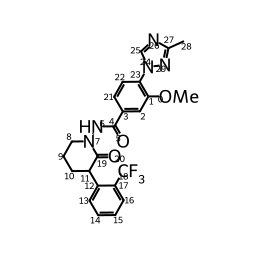 COc1cc(C(=O)NN2CCCC(c3ccccc3C(F)(F)F)C2=O)ccc1-n1cnc(C)n1